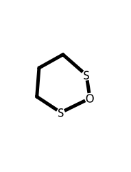 C1CSOSC1